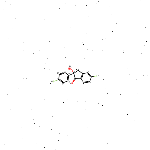 O=C1c2ccc(F)cc2CC1(O)c1ccc(F)cc1